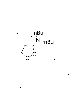 CCCCN(CCCC)[C]1CCOO1